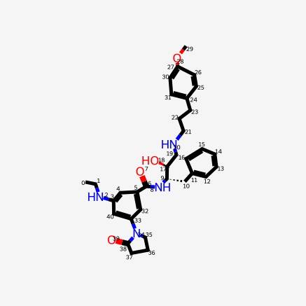 CCNc1cc(C(=O)N[C@@H](Cc2ccccc2)[C@@H](O)CNCCCc2ccc(OC)cc2)cc(N2CCCC2=O)c1